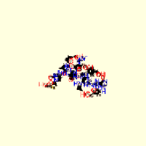 Cc1cn([C@H]2C=C[C@@H](CO)O2)c(=O)[nH]c1=O.Cc1cn([C@H]2C[C@H](N=[N+]=[N-])[C@@H](CO)O2)c(=O)[nH]c1=O.Nc1ccn([C@@H]2CS[C@H](CO)O2)c(=O)n1.Nc1nc(NC2CC2)c2ncn([C@H]3C=C[C@@H](CO)C3)c2n1.O=c1nc[nH]c2c1ncn2[C@H]1CC[C@@H](CO)O1